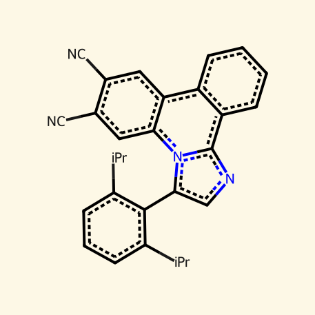 CC(C)c1cccc(C(C)C)c1-c1cnc2c3ccccc3c3cc(C#N)c(C#N)cc3n12